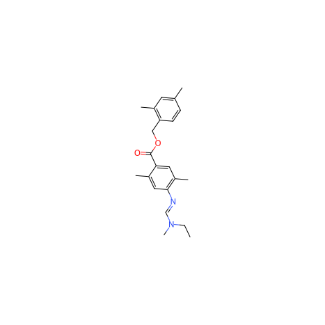 CCN(C)/C=N/c1cc(C)c(C(=O)OCc2ccc(C)cc2C)cc1C